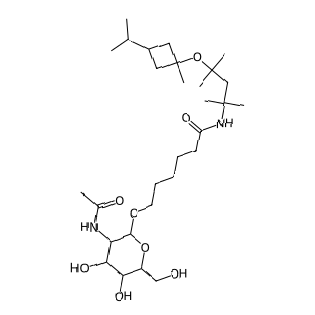 CC(=O)NC1C(OCCCCCC(=O)NC(C)(C)CC(C)(C)OC2(C)CC(C(C)C)C2)OC(CO)C(O)C1O